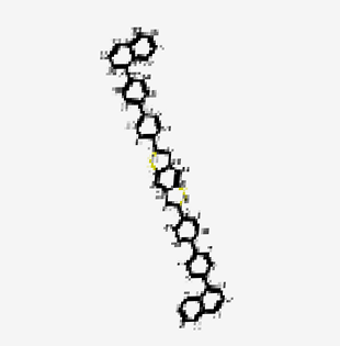 c1ccc2c(-c3ccc(-c4ccc(-c5cc6cc7sc(-c8ccc(-c9ccc(-c%10cccc%11ccccc%10%11)cc9)cc8)cc7cc6s5)cc4)cc3)cccc2c1